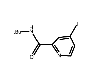 CC(C)(C)NC(=O)c1cc(I)ccn1